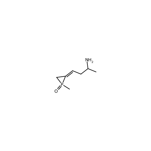 CC(N)CC=C1CP1(C)=O